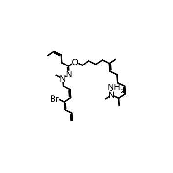 C=C/C=C(Br)\C=C/CN(C)/N=C(\C/C=C\C)OCCCCC(C)=CCC/C=C\C(C)N(C)N